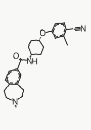 Cc1cc(O[C@H]2CC[C@H](NC(=O)c3ccc4c(c3)CCN(C)CC4)CC2)ccc1C#N